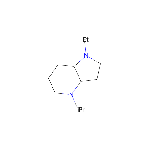 CCN1CCC2C1CCCN2C(C)C